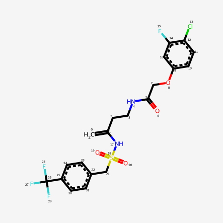 C=C(CCNC(=O)COc1ccc(Cl)c(F)c1)NS(=O)(=O)Cc1ccc(C(F)(F)F)cc1